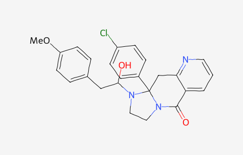 COc1ccc(CC(O)N2CCN3C(=O)c4cccnc4CC32c2ccc(Cl)cc2)cc1